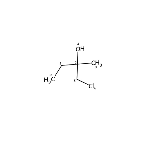 CCC(C)(O)CCl